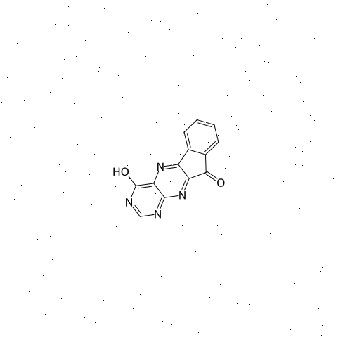 O=C1c2ccccc2-c2nc3c(O)ncnc3nc21